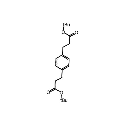 CC(C)(C)OC(=O)CCc1ccc(CCC(=O)OC(C)(C)C)cc1